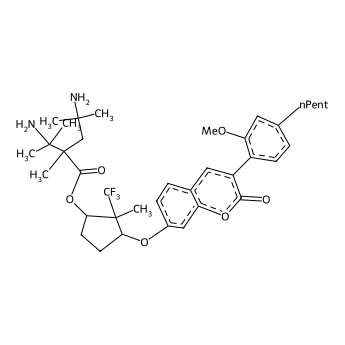 CCCCCc1ccc(-c2cc3ccc(OC4CCC(OC(=O)C(C)(CC(C)(C)N)C(C)(C)N)C4(C)C(F)(F)F)cc3oc2=O)c(OC)c1